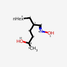 CCCCCCCC(C=NO)CCC(C)O